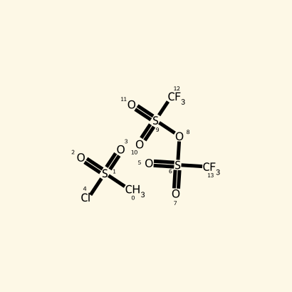 CS(=O)(=O)Cl.O=S(=O)(OS(=O)(=O)C(F)(F)F)C(F)(F)F